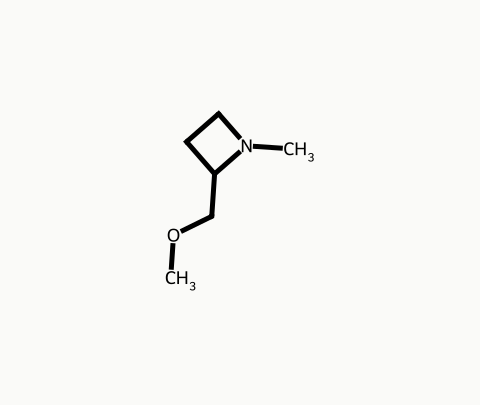 COCC1CCN1C